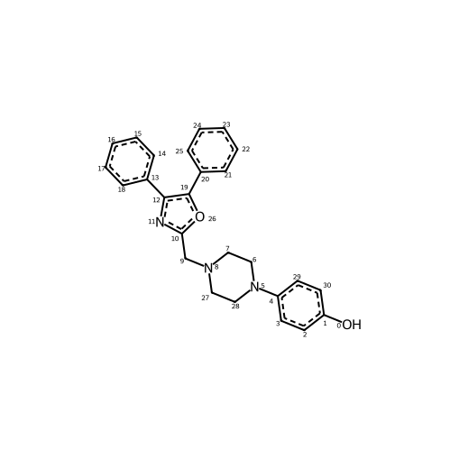 Oc1ccc(N2CCN(Cc3nc(-c4ccccc4)c(-c4ccccc4)o3)CC2)cc1